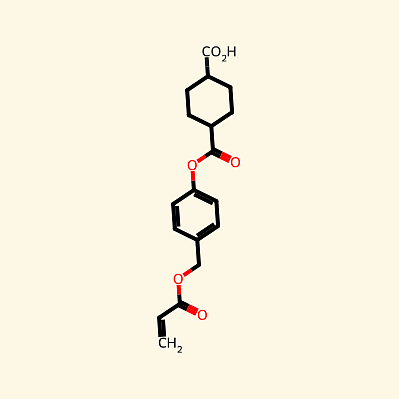 C=CC(=O)OCc1ccc(OC(=O)C2CCC(C(=O)O)CC2)cc1